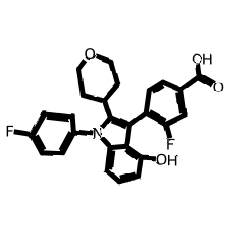 O=C(O)c1ccc(-c2c(C3CCOCC3)n(-c3ccc(F)cc3)c3cccc(O)c23)c(F)c1